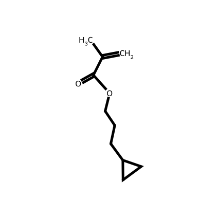 C=C(C)C(=O)OCCCC1CC1